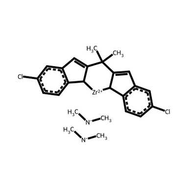 CC1(C)C2=Cc3cc(Cl)ccc3[CH]2[Zr+2][CH]2C1=Cc1cc(Cl)ccc12.C[N-]C.C[N-]C